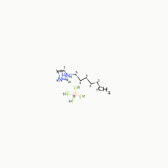 CCCCCC[NH+]1C=CN=C1.F[B-](F)(F)F